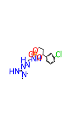 CN(C)C(=N)NN=CNP1(=O)OCCC(c2cccc(Cl)c2)O1